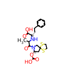 CC(N[C@@H](CCc1ccccc1)C(=O)O)C(=O)N1CC2(C[C@@H]1OC(=O)O)SCCS2